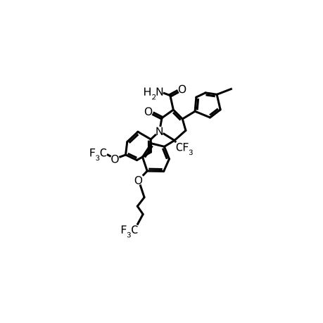 Cc1ccc(C2=C(C(N)=O)C(=O)N(c3ccc(OC(F)(F)F)cc3)[C@@](c3ccc(OCCCC(F)(F)F)cc3)(C(F)(F)F)C2)cc1